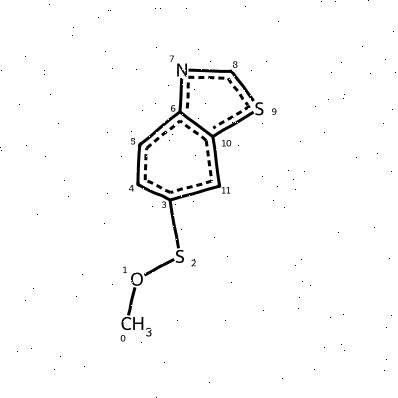 COSc1ccc2ncsc2c1